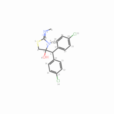 CCCCN1/C(=N\C)SCC1(O)C(c1ccc(Cl)cc1)c1ccc(Cl)cc1